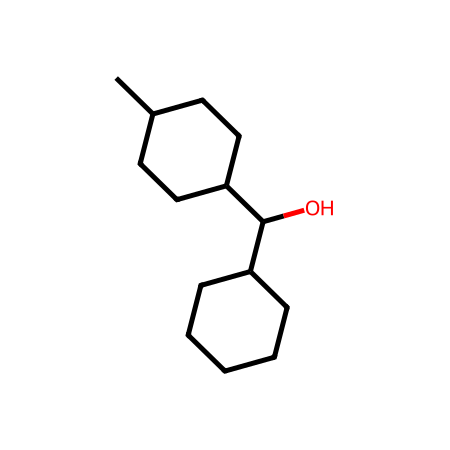 CC1CCC(C(O)C2CCCCC2)CC1